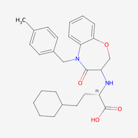 Cc1ccc(CN2C(=O)C(N[C@@H](CCC3CCCCC3)C(=O)O)COc3ccccc32)cc1